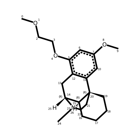 COCCOc1cc(OC)cc2c1C[C@@H]1[C@@H]3CCCC[C@]23CCN1C